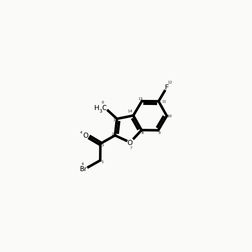 Cc1c(C(=O)CBr)oc2ccc(F)cc12